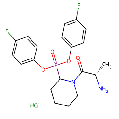 C[C@H](N)C(=O)N1CCCCC1P(=O)(Oc1ccc(F)cc1)Oc1ccc(F)cc1.Cl